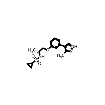 Cc1n[nH]cc1-c1c[c]cc(OC[C@@H](C)NS(=O)(=O)C2CC2)c1